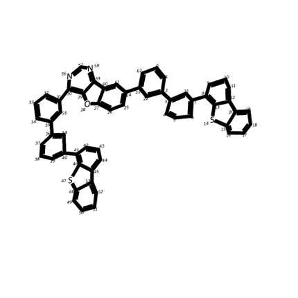 c1cc(-c2cccc(-c3cccc4c3sc3ccccc34)c2)cc(-c2ccc3oc4c(-c5cccc(-c6cccc(-c7cccc8c7sc7ccccc78)c6)c5)ncnc4c3c2)c1